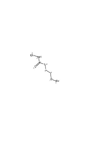 CCNC(=S)OCCOC(C)(C)C